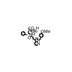 COc1ccc(Cn2nc(/C=C/C(=O)N[C@H](Cc3ccccc3)CN(C(=O)O)C(C)(C)C)c3cccnc32)cc1